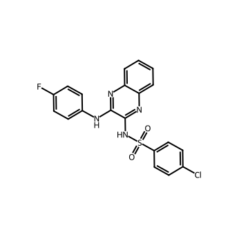 O=S(=O)(Nc1nc2ccccc2nc1Nc1ccc(F)cc1)c1ccc(Cl)cc1